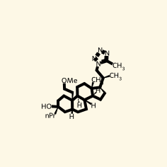 CCC[C@@]1(O)CC[C@@]2(CCOC)[C@H](CC[C@H]3[C@@H]4CC[C@H]([C@H](C)Cn5nnnc5C)[C@@]4(C)CC[C@@H]32)C1